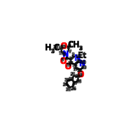 CCn1cc(C(=O)N2C[C@H](C)O[C@@H](C)C2)c(=O)c2cc(OC3Cc4ccccc4C3)cnc21